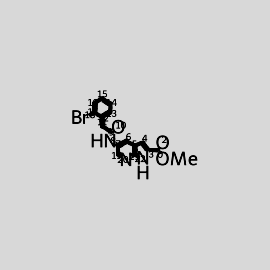 COC(=O)c1cc2cc(NC(=O)Cc3ccccc3Br)cnc2[nH]1